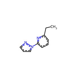 CCc1cccc(-n2cccn2)n1